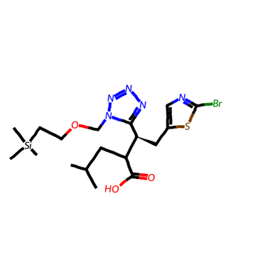 CC(C)CC(C(=O)O)[C@H](Cc1cnc(Br)s1)c1nnnn1COCC[Si](C)(C)C